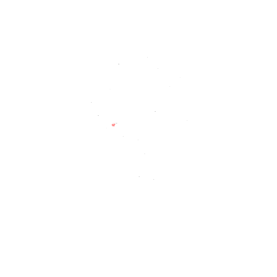 C=CC(=O)N1C(C)CN(c2nc(=O)n3c4nc(c(F)cc24)-n2cc(nn2)CCCCc2ccnc(C(C)C)c2-3)CC1C